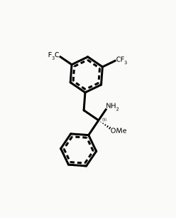 CO[C@@](N)(Cc1cc(C(F)(F)F)cc(C(F)(F)F)c1)c1ccccc1